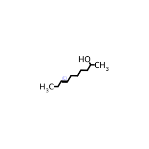 CC/C=C/CCCCC(C)O